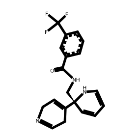 O=C(NC[C@]1(C2=CCN=CC2)C=CC=CN1)c1cccc(C(F)(F)F)c1